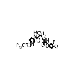 C=C(CCNC(=O)COc1ccc(Cl)c(F)c1)C(=O)Nc1ccc(OCC(F)(F)F)nc1